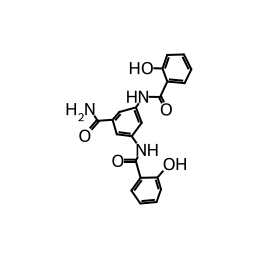 NC(=O)c1cc(NC(=O)c2ccccc2O)cc(NC(=O)c2ccccc2O)c1